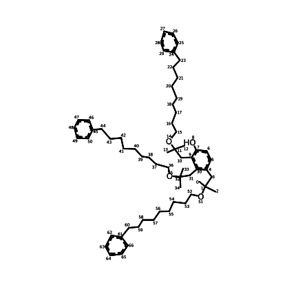 CC(C)(Cc1ccc(O)c(CC(C)(C)OCCCCCCCCCc2ccccc2)c1CC(C)(C)OCCCCCCCCCc1ccccc1)OCCCCCCCCCc1ccccc1